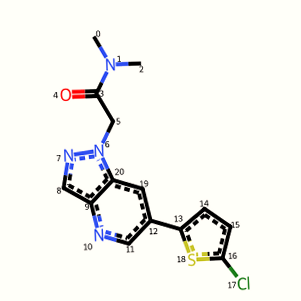 CN(C)C(=O)Cn1ncc2ncc(-c3ccc(Cl)s3)cc21